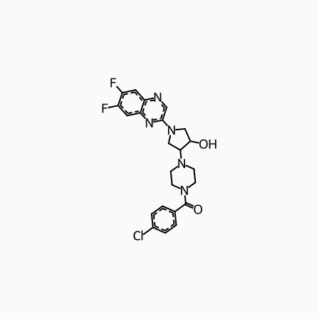 O=C(c1ccc(Cl)cc1)N1CCN(C2CN(c3cnc4cc(F)c(F)cc4n3)CC2O)CC1